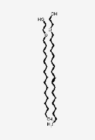 CCCCCCCC/C=C/CCCCCCCCOCCO.CCCCCCCCCCCCCCCCOCCO